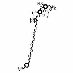 Cc1cc(Oc2c(C)cc(CC(=O)N=O)cc2C)cc(C)c1OCC1=CN(CCOCCOCCOCCOCCOCCOCCCC2=CC=C(CN)CC2)NN1